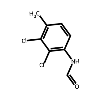 Cc1ccc(NC=O)c(Cl)c1Cl